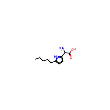 CCCCCc1ccc(C(N)C(=O)O)[nH]1